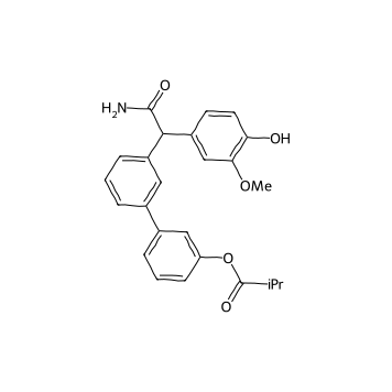 COc1cc(C(C(N)=O)c2cccc(-c3cccc(OC(=O)C(C)C)c3)c2)ccc1O